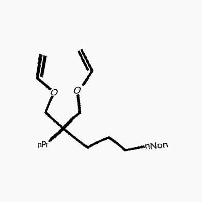 C=COCC(CCC)(CCCCCCCCCCCC)COC=C